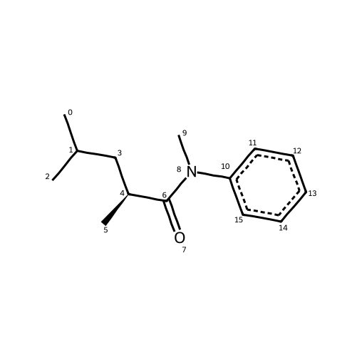 CC(C)C[C@H](C)C(=O)N(C)c1ccccc1